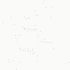 Cc1nccnc1S.[Na]